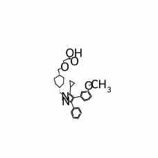 COc1cccc(-c2c(-c3ccccc3)nn(C[C@H]3CC[C@H](COCC(=O)O)CC3)c2C2CC2)c1